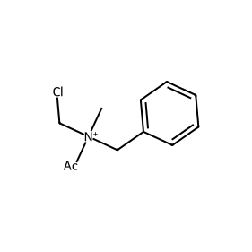 CC(=O)[N+](C)(CCl)Cc1ccccc1